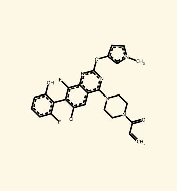 C=CC(=O)N1CCN(c2nc(Oc3ccn(C)c3)nc3c(F)c(-c4c(O)cccc4F)c(Cl)cc23)CC1